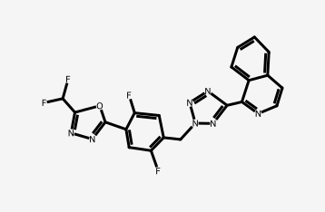 Fc1cc(-c2nnc(C(F)F)o2)c(F)cc1Cn1nnc(-c2nccc3ccccc23)n1